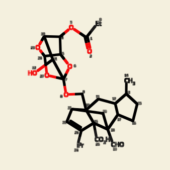 CCC(=O)OC1C2OC3(OCC45CC6C(C)CCC6C6(C=O)CC4C=C(C(C)C)C65C(=O)O)OC2OC1C3O